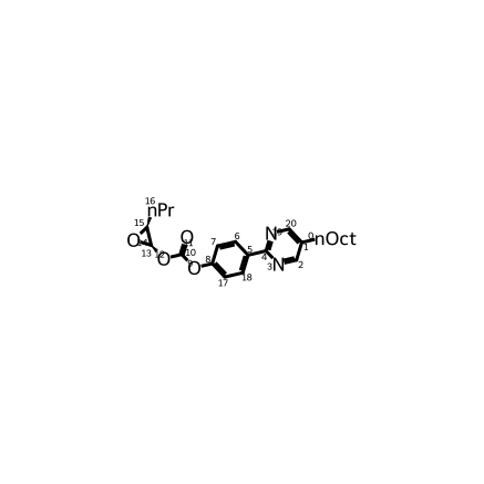 CCCCCCCCc1cnc(-c2ccc(OC(=O)O[C@H]3O[C@H]3CCC)cc2)nc1